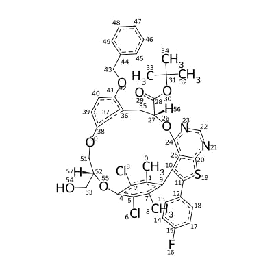 Cc1c(Cl)c2c(Cl)c(C)c1-c1c(-c3ccc(F)cc3)sc3ncnc(c13)O[C@@H](C(=O)OC(C)(C)C)Cc1cc(ccc1OCc1ccccc1)OC[C@@H](CO)O2